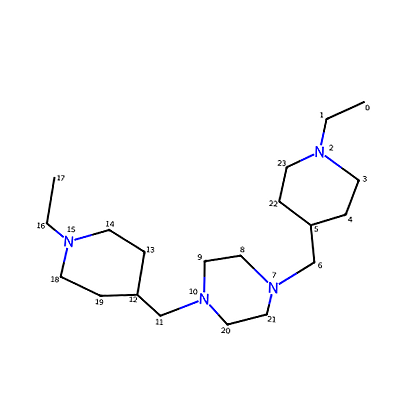 CCN1CCC(CN2CCN(CC3CCN(CC)CC3)CC2)CC1